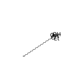 C=CCCCCCCCCCCCCCCCCCCCCCOP(=O)(O)C(CC)[N+](C)(C)C